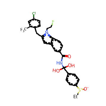 CC[S+]([O-])c1ccc(C(O)(O)NC(=O)c2ccc3c(c2)cc(Cc2ccc(Cl)cc2C(F)(F)F)n3CCF)cc1